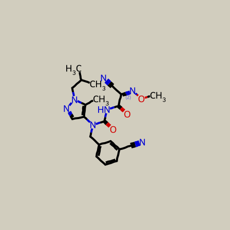 CO/N=C(/C#N)C(=O)NC(=O)N(Cc1cccc(C#N)c1)c1cnn(CC(C)C)c1C